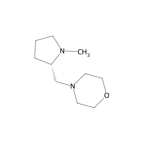 CN1CCC[C@H]1CN1CCOCC1